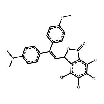 COc1ccc(C(=CC2OC(=O)c3c(Cl)c(Cl)c(Cl)c(Cl)c32)c2ccc(N(C)C)cc2)cc1